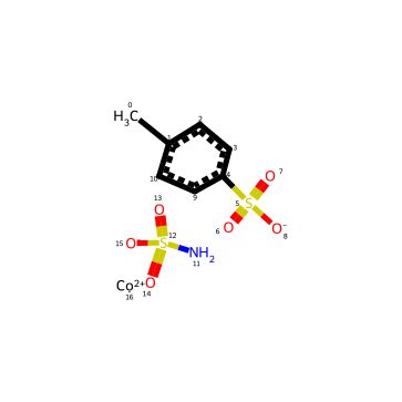 Cc1ccc(S(=O)(=O)[O-])cc1.NS(=O)(=O)[O-].[Co+2]